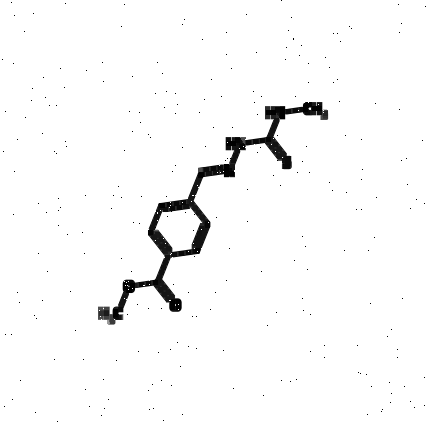 CNC(=S)N/N=C/c1ccc(C(=O)OC)cc1